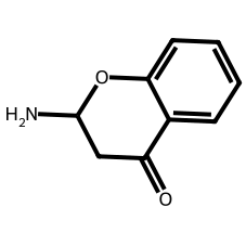 NC1CC(=O)c2ccccc2O1